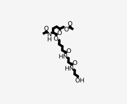 CC(=O)NC1CCC(COC(C)=O)OC1OCCCCC(=O)NCCC(=O)NCCCO